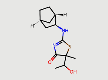 CC(O)C1(C)SC(N[C@H]2C[C@H]3CC[C@H]2C3)=NC1=O